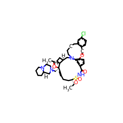 CCO[C@]1(CN2CCN3CCCC[C@@H]3C2)/C=C/CC[C@@H](CC)S(=O)(=O)NC(=O)c2ccc3c(c2)N(CCCCc2cc(Cl)ccc2CO3)C[C@@H]2CC[C@H]21